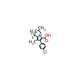 Cc1c(-c2ccc(Cl)cc2)c(C(=O)O)n(CC(C)C)c1C(F)(F)F